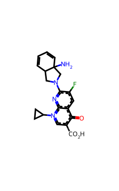 NC12C=CC=CC1CN(c1nc3c(cc1F)c(=O)c(C(=O)O)cn3C1CC1)C2